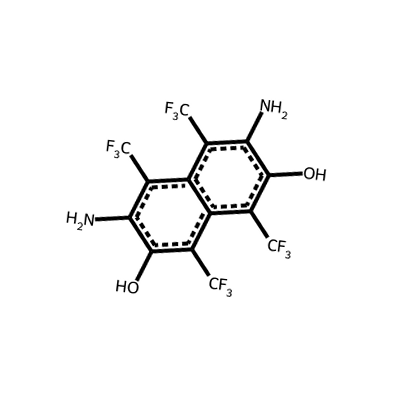 Nc1c(O)c(C(F)(F)F)c2c(C(F)(F)F)c(O)c(N)c(C(F)(F)F)c2c1C(F)(F)F